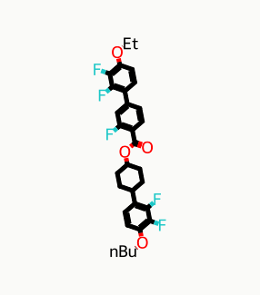 CCCCOc1ccc(C2CCC(OC(=O)c3ccc(-c4ccc(OCC)c(F)c4F)cc3F)CC2)c(F)c1F